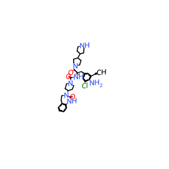 C#Cc1cc(C[C@@H](NC(=O)N2CCC(N3CCc4ccccc4NC3=O)CC2)C(=O)N2CCC(C3CCNCC3)CC2)cc(Cl)c1N